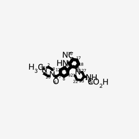 CN1CCN(C(=O)c2ccc3c(c2)[nH]c2c(C#N)ccc(N4CCCC(NC(=O)O)C4)c23)CC1